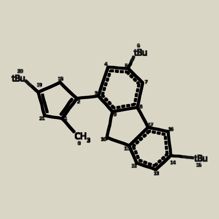 CC1=C(c2cc(C(C)(C)C)cc3c2[CH]c2ccc(C(C)(C)C)cc2-3)CC(C(C)(C)C)=C1